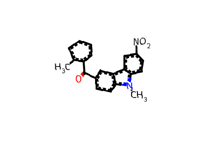 Cc1ccccc1C(=O)c1ccc2c(c1)c1cc([N+](=O)[O-])ccc1n2C